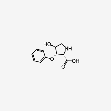 O=C(O)[C@H]1NC[C@H](O)[C@H]1Oc1ccccc1